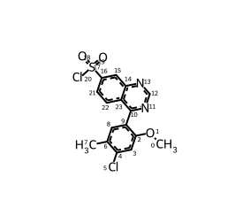 COc1cc(Cl)c(C)cc1-c1ncnc2cc(S(=O)(=O)Cl)ccc12